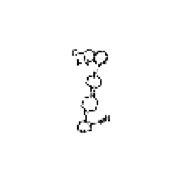 N#Cc1ccccc1N1CCN(N2CCN(c3cccc4c3NC(=O)C4)CC2)CC1